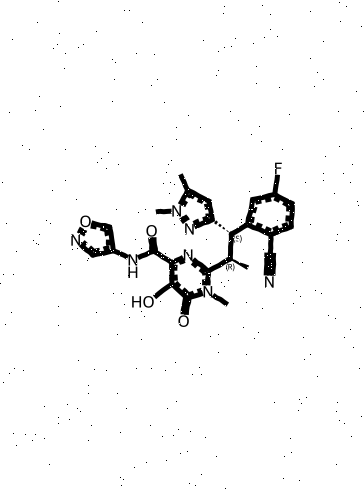 Cc1cc([C@H](c2cc(F)ccc2C#N)[C@@H](C)c2nc(C(=O)Nc3cnoc3)c(O)c(=O)n2C)nn1C